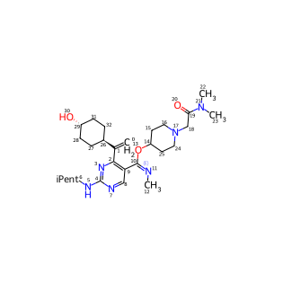 C=C(c1nc(NC(C)CCC)ncc1/C(=N\C)OC1CCN(CC(=O)N(C)C)CC1)[C@H]1CC[C@H](O)CC1